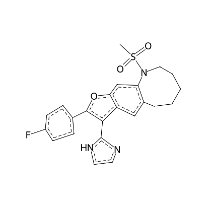 CS(=O)(=O)N1CCCCCc2cc3c(-c4ncc[nH]4)c(-c4ccc(F)cc4)oc3cc21